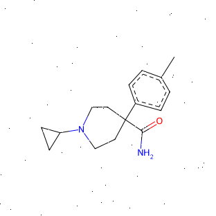 Cc1ccc(C2(C(N)=O)CCN(C3CC3)CC2)cc1